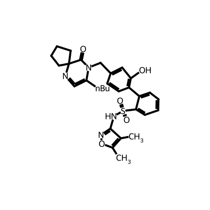 CCCCC1=C=NC2(CCCC2)C(=O)N1Cc1ccc(-c2ccccc2S(=O)(=O)Nc2noc(C)c2C)c(O)c1